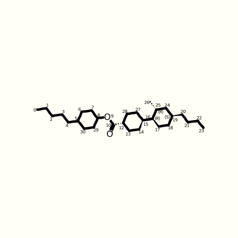 CCCCCC1CCC(OC(=O)[C@H]2CC[C@H]([C@@H]3CC[C@H](CCCC)C[C@H]3C)CC2)CC1